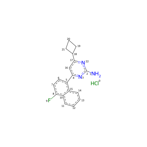 Cl.Nc1nc(-c2ccc(F)c3ccccc23)cc(C2CCC2)n1